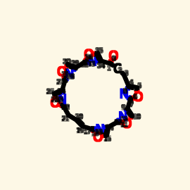 O=C1CCc2coc(n2)-c2coc(n2)-c2coc(n2)/C=C/Cc2nc(co2)-c2nc(co2)-c2nc1co2